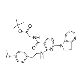 COc1ccc(CCNc2nc(N3CCc4ccccc43)ncc2C(=O)NCC(=O)OC(C)(C)C)cc1